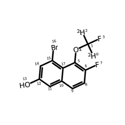 [2H]C([2H])(F)Oc1c(F)ccc2cc(O)cc(Br)c12